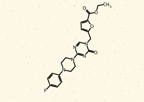 CCOC(=O)c1ccc(Cn2cnc(N3CCN(c4ccc(F)cc4)CC3)nc2=O)o1